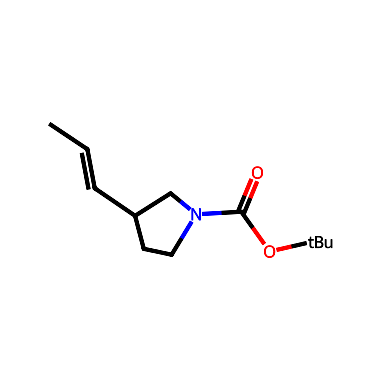 C/C=C/C1CCN(C(=O)OC(C)(C)C)C1